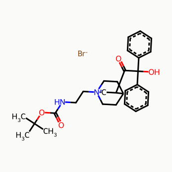 CC(C)(C)OC(=O)NCC[N+]12CCC(CC1)C(C(=O)C(O)(c1ccccc1)c1ccccc1)C2.[Br-]